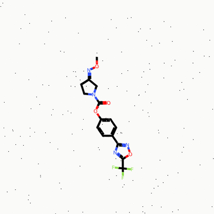 CON=C1CCN(C(=O)Oc2ccc(-c3noc(C(F)(F)F)n3)cc2)C1